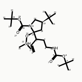 C=CC(CCNC(=O)OC(C)(C)C)[C@@]1(O[SiH](C)C)C[C@H](C(C)(C)C)CN1C(=O)OC(C)(C)C